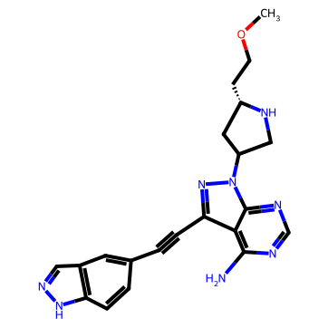 COCC[C@H]1CC(n2nc(C#Cc3ccc4[nH]ncc4c3)c3c(N)ncnc32)CN1